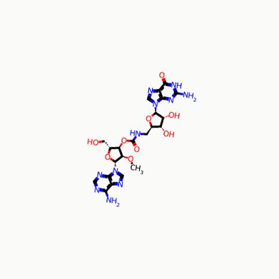 CO[C@@H]1[C@H](OC(=O)NC[C@H]2O[C@@H](n3cnc4c(=O)[nH]c(N)nc43)[C@H](O)[C@@H]2O)[C@@H](CO)O[C@H]1n1cnc2c(N)ncnc21